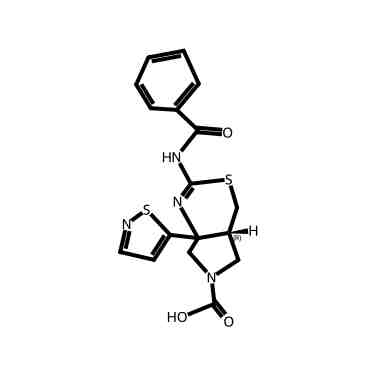 O=C(NC1=NC2(c3ccns3)CN(C(=O)O)C[C@H]2CS1)c1ccccc1